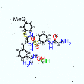 COc1ccc2nc([C@@H](Cc3cccc(C(N)=NO)c3)NS(=O)(=O)c3cccc(NC(=O)CN)c3)sc2c1.Cl